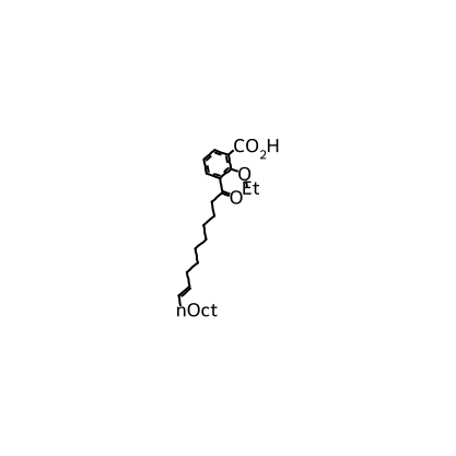 CCCCCCCCC=CCCCCCCCC(=O)c1cccc(C(=O)O)c1OCC